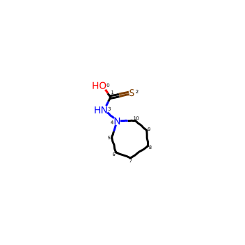 OC(=S)NN1CCCCCC1